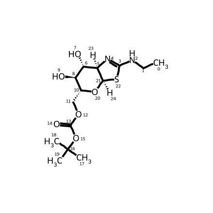 CCNC1=N[C@@H]2[C@@H](O)[C@H](O)[C@@H](COC(=O)OC(C)(C)C)O[C@@H]2S1